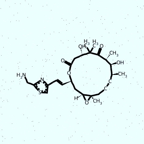 C[C@H]1CCC[C@@]2(C)O[C@H]2C[C@@H](C=Cc2csc(CN)n2)OC(=O)C[C@H](O)C(C)(C)C(=O)[C@H](C)[C@H]1O